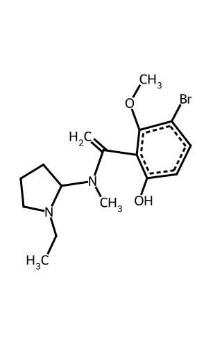 C=C(c1c(O)ccc(Br)c1OC)N(C)C1CCCN1CC